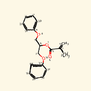 C=C(C)C(=O)OC(COc1ccccc1)COc1ccccc1